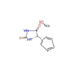 O=C1NC(=S)NC1c1ccccc1.O=NO